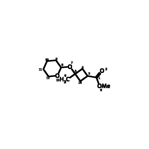 COC(=O)C1CC(C)(OC2CCCCO2)C1